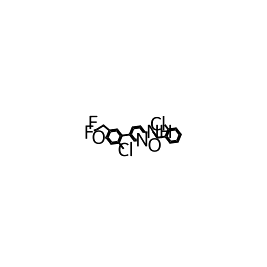 O=C(Nc1ccc(-c2cc3c(cc2Cl)OC(F)(F)C3)cn1)c1ccccc1Cl